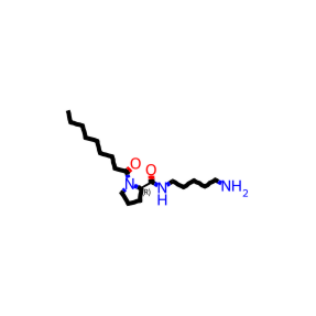 CCCCCCCCC(=O)N1CCC[C@@H]1C(=O)NCCCCCN